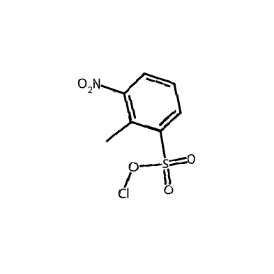 Cc1c([N+](=O)[O-])cccc1S(=O)(=O)OCl